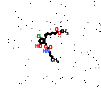 CCCCNC(=O)OC[C@@H]1[C@@H](C/C=C\CCCC(=O)OC)[C@@H](Cl)C[C@H]1O